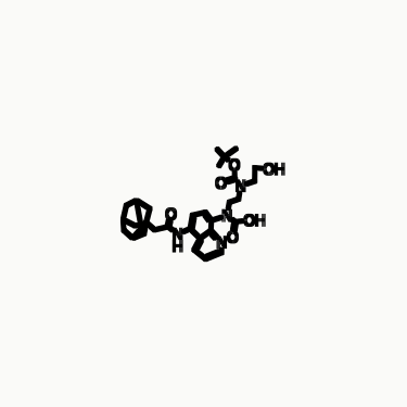 CC(C)(C)OC(=O)N(CCO)CCN(C(=O)O)c1ccc(NC(=O)CC23CC4CC(CC(C4)C2)C3)c2cccnc12